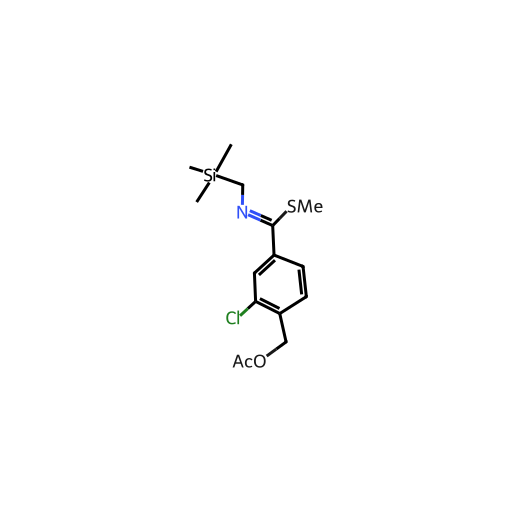 CSC(=NC[Si](C)(C)C)c1ccc(COC(C)=O)c(Cl)c1